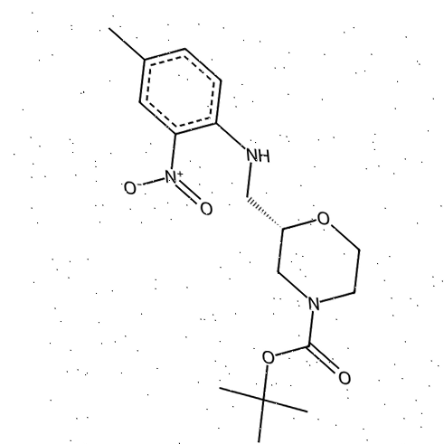 Cc1ccc(NC[C@H]2CN(C(=O)OC(C)(C)C)CCO2)c([N+](=O)[O-])c1